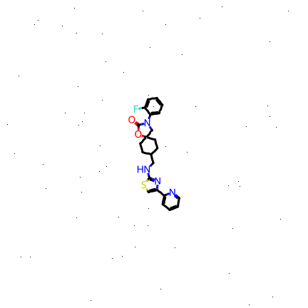 O=C1OC2(CCC(CNc3nc(-c4ccccn4)cs3)CC2)CN1c1ccccc1F